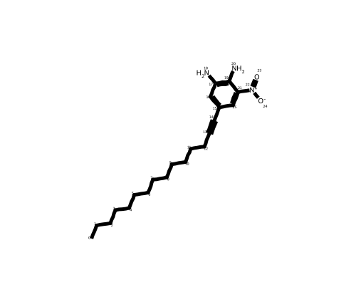 CCCCCCCCCCCCCC#Cc1cc(N)c(N)c([N+](=O)[O-])c1